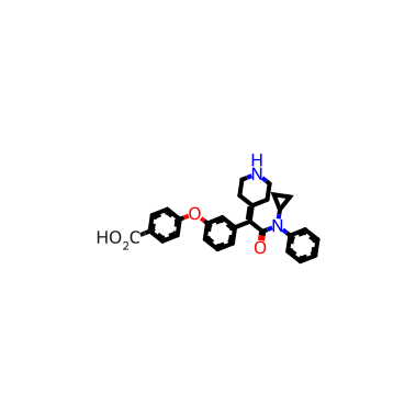 O=C(O)c1ccc(Oc2cccc(C(C(=O)N(c3ccccc3)C3CC3)=C3CCNCC3)c2)cc1